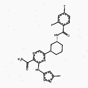 Cc1cc(Nc2nc(N3CCC[C@@H](NC(=O)c4ccc(F)cc4F)C3)cnc2C(N)=O)sn1